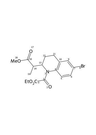 CCOC(=O)C(=O)N1c2ccc(Br)cc2CCC1C(C)C(=O)OC